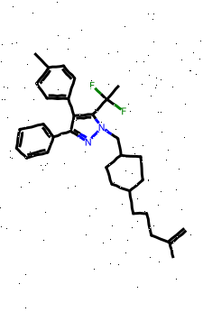 C=C(C)CCCC1CCC(Cn2nc(-c3ccccc3)c(-c3ccc(C)cc3)c2C(C)(F)F)CC1